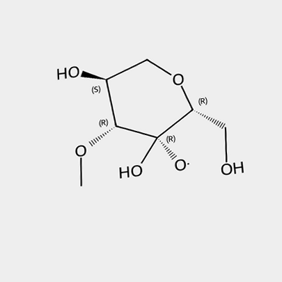 CO[C@@H]1[C@@H](O)CO[C@H](CO)[C@@]1([O])O